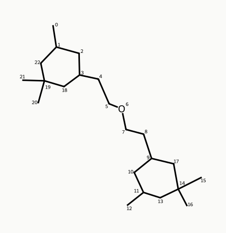 CC1CC(CCOCCC2CC(C)CC(C)(C)C2)CC(C)(C)C1